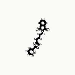 O=C1c2ccccc2C(=O)N1CC/C=C/c1csc(-c2ccccn2)n1